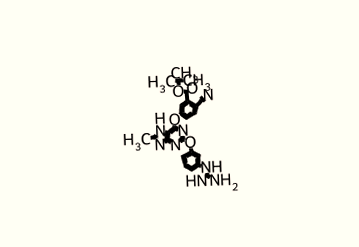 Cc1nc2nc(Oc3cccc(NC(=N)N)c3)nc(Oc3ccc(C#N)c(C(=O)OC(C)(C)C)c3)c2[nH]1